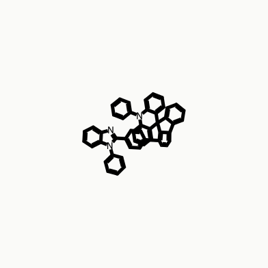 c1ccc(N2c3ccccc3C3(c4ccccc4-c4cccc(-c5ccc(-c6nc7ccccc7n6-c6ccccc6)cc5)c43)c3ccccc32)cc1